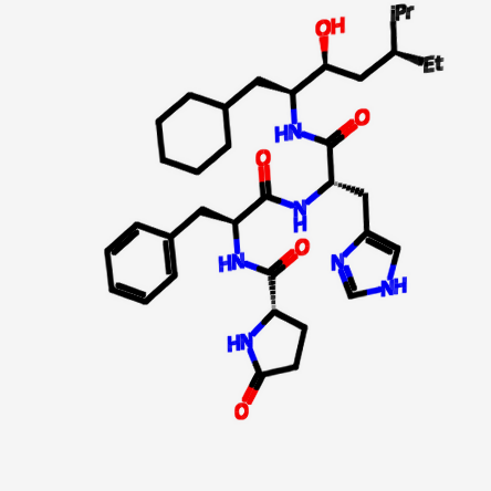 CC[C@@H](C[C@H](O)[C@H](CC1CCCCC1)NC(=O)[C@H](Cc1c[nH]cn1)NC(=O)[C@H](Cc1ccccc1)NC(=O)[C@@H]1CCC(=O)N1)C(C)C